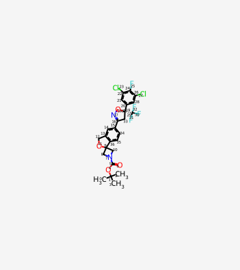 CC(C)(C)OC(=O)N1CC2(C1)OCc1cc(C3=NO[C@](c4cc(Cl)c(F)c(Cl)c4)(C(F)(F)F)C3)ccc12